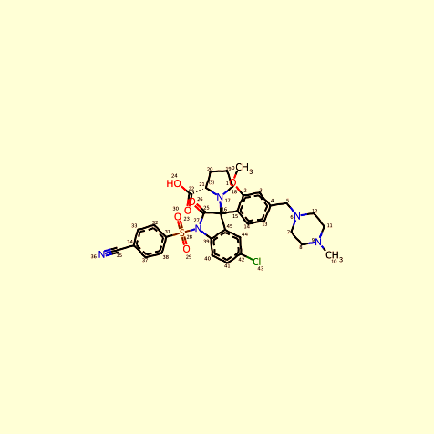 COc1cc(CN2CCN(C)CC2)ccc1C1(N2CCC[C@H]2C(=O)O)C(=O)N(S(=O)(=O)c2ccc(C#N)cc2)c2ccc(Cl)cc21